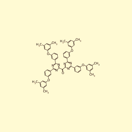 Cc1cc(C)cc(Oc2cccc(-c3nc(C(=O)c4nc(-c5cccc(Oc6cc(C)cc(C)c6)c5)nc(-c5cccc(Oc6cc(C)cc(C)c6)c5)n4)nc(-c4cccc(Oc5cc(C)cc(C)c5)c4)n3)c2)c1